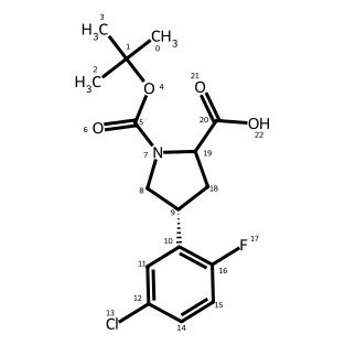 CC(C)(C)OC(=O)N1C[C@@H](c2cc(Cl)ccc2F)CC1C(=O)O